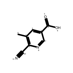 Cc1cc(C(=O)O)cnc1C#N